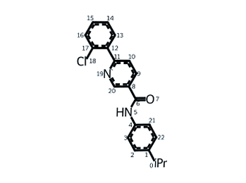 CC(C)c1ccc(NC(=O)c2ccc(-c3ccccc3Cl)nc2)cc1